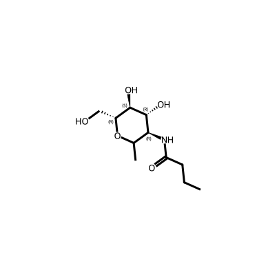 CCCC(=O)N[C@H]1C(C)O[C@H](CO)[C@@H](O)[C@@H]1O